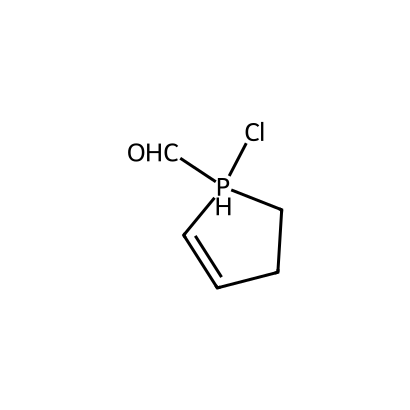 O=C[PH]1(Cl)C=CCC1